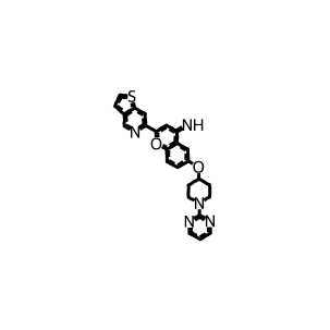 N=c1cc(-c2cc3sccc3cn2)oc2ccc(OC3CCN(c4ncccn4)CC3)cc12